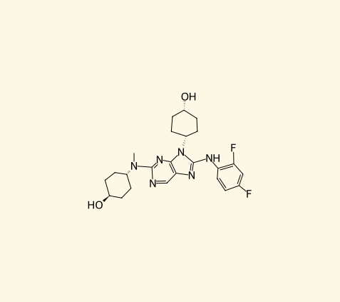 CN(c1ncc2nc(Nc3ccc(F)cc3F)n([C@H]3CC[C@@H](O)CC3)c2n1)[C@H]1CC[C@H](O)CC1